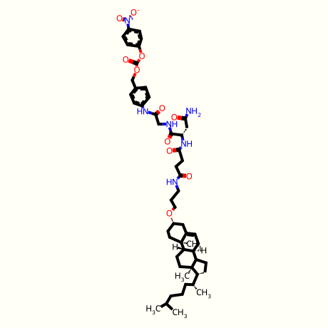 CC(C)CCC[C@@H](C)[C@H]1CCC2[C@@H]3CC=C4C[C@@H](OCCCNC(=O)CCC(=O)N[C@@H](CC(N)=O)C(=O)NCC(=O)Nc5ccc(COC(=O)Oc6ccc([N+](=O)[O-])cc6)cc5)CC[C@]4(C)[C@H]3CC[C@@]21C